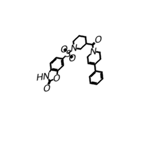 O=C(C1CCCN(S(=O)(=O)c2ccc3[nH]c(=O)oc3c2)C1)N1CC=C(c2ccccc2)CC1